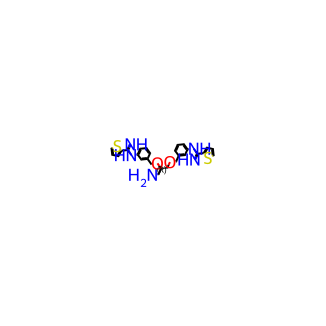 N=C(Nc1cccc(COC[C@@H](CN)OCc2cccc(NC(=N)c3cccs3)c2)c1)c1cccs1